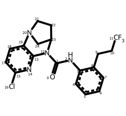 O=C(Nc1ccccc1CCC(F)(F)F)N1c2nc(Cl)ccc2N2CCC1C2